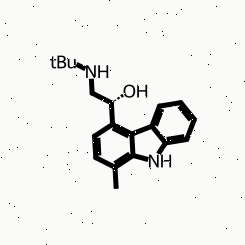 Cc1ccc([C@@H](O)CNC(C)(C)C)c2c1[nH]c1ccccc12